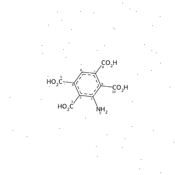 Nc1c(C(=O)O)c(C(=O)O)cc(C(=O)O)c1C(=O)O